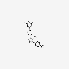 Cc1cc(C2CCC(C(C)C(=O)Nc3ccc(Cl)cc3)CC2)cc(C)n1